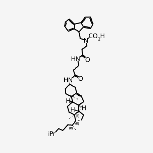 CC(C)CCC[C@@H](C)[C@H]1CC[C@H]2[C@@H]3CC=C4C[C@@H](NC(=O)CCNC(=O)CCN(CC5c6ccccc6-c6ccccc65)C(=O)O)CC[C@]4(C)[C@H]3CC[C@]12C